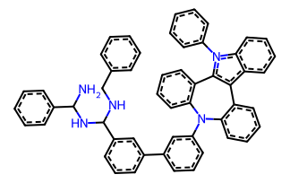 NC(NC(NCc1ccccc1)c1cccc(-c2cccc(N3c4ccccc4-c4c(n(-c5ccccc5)c5ccccc45)-c4ccccc43)c2)c1)c1ccccc1